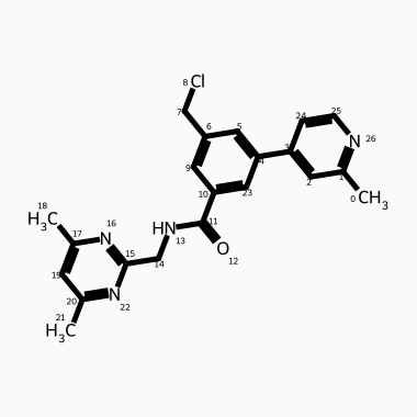 Cc1cc(-c2cc(CCl)cc(C(=O)NCc3nc(C)cc(C)n3)c2)ccn1